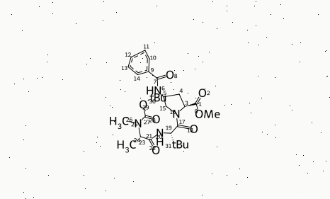 COC(=O)[C@@H]1C[C@H](NC(=O)c2ccccc2)CN1C(=O)[C@@H](NC(=O)[C@H](C)N(C)C(=O)OC(C)(C)C)C(C)(C)C